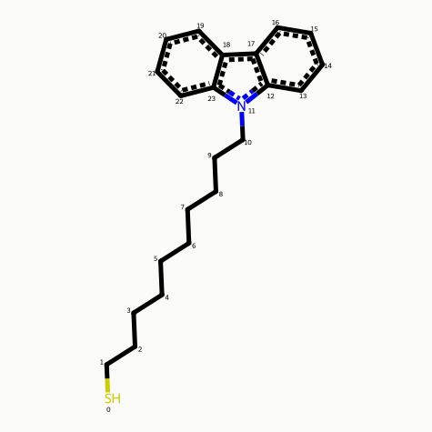 SCCCCCCCCCCn1c2ccccc2c2ccccc21